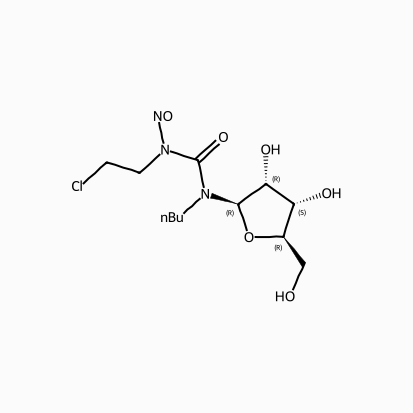 CCCCN(C(=O)N(CCCl)N=O)[C@@H]1O[C@H](CO)[C@@H](O)[C@H]1O